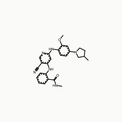 CNC(=O)c1ccccc1Nc1cc(Nc2ccc(N3CCC(C)C3)cc2OC)ncc1C#N